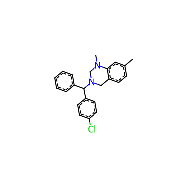 Cc1ccc2c(c1)N(C)CN(C(c1ccccc1)c1ccc(Cl)cc1)C2